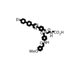 CCC1CCC(C2CC=C(c3cnc(-c4ccc(CN(CC(=O)NCC(=O)O)C(=O)c5ccc(NC(=O)Cc6ccc(OC)cc6)cc5)cc4)nc3)CC2)CC1